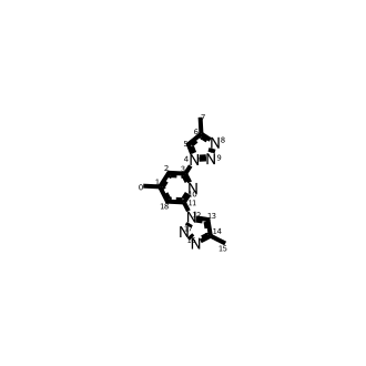 Cc1cc(-n2cc(C)nn2)nc(-n2cc(C)nn2)c1